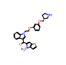 Cn1c(C(=O)c2cn(CCOc3cccc(OC[C@H]4CCNC4)c3)c3ccccc23)cc2sccc21